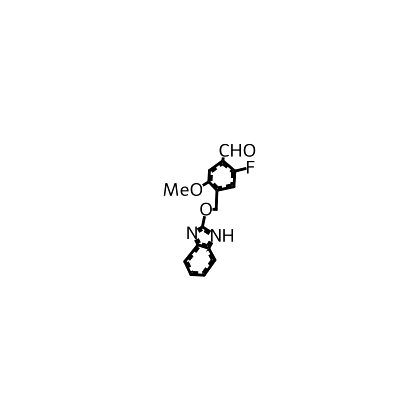 COc1cc(C=O)c(F)cc1COc1nc2ccccc2[nH]1